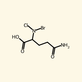 NC(=O)CCC(C(=O)O)N(Cl)Br